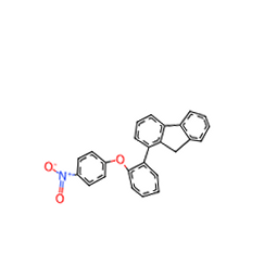 O=[N+]([O-])c1ccc(Oc2ccccc2-c2cccc3c2Cc2ccccc2-3)cc1